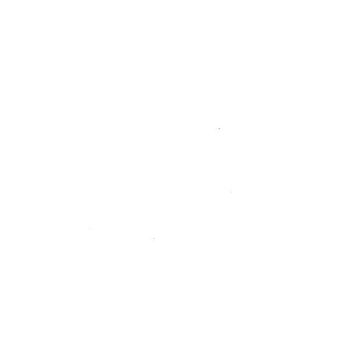 CC(C)CC1=Cc2c(ccc(C(C)C)c2-c2cc(C(F)(F)F)cc(C(F)(F)F)c2)[CH]1[Zr]([Cl])([Cl])[c]1cccc2c1[SiH2]c1ccccc1-2